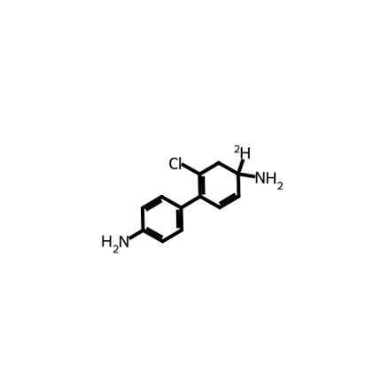 [2H]C1(N)C=CC(c2ccc(N)cc2)=C(Cl)C1